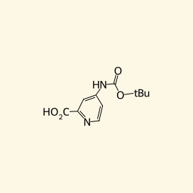 CC(C)(C)OC(=O)Nc1ccnc(C(=O)O)c1